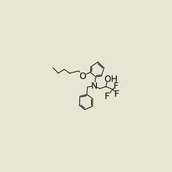 CCCCCOc1ccccc1N(Cc1ccccc1)CC(O)C(F)(F)F